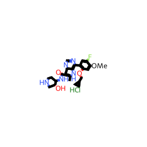 COc1cc(OCC2CC2)c(-c2ncnc3c(C(=O)NC4CCNCC4O)c(C)[nH]c23)cc1F.Cl